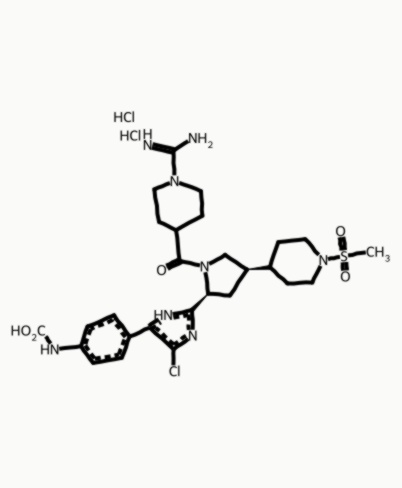 CS(=O)(=O)N1CCC([C@H]2C[C@@H](c3nc(Cl)c(-c4ccc(NC(=O)O)cc4)[nH]3)N(C(=O)C3CCN(C(=N)N)CC3)C2)CC1.Cl.Cl